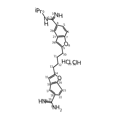 CC(C)NC(=N)c1ccc2oc(CCCCc3cc4cc(C(=N)N)ccc4o3)cc2c1.Cl.Cl